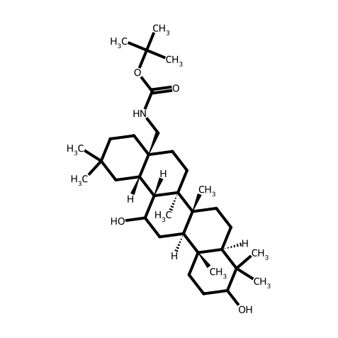 CC1(C)CC[C@]2(CNC(=O)OC(C)(C)C)CC[C@]3(C)[C@H](C(O)C[C@@H]4[C@@]5(C)CCC(O)C(C)(C)[C@@H]5CC[C@]43C)[C@@H]2C1